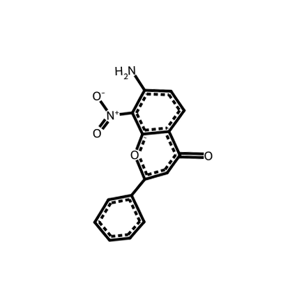 Nc1ccc2c(=O)cc(-c3ccccc3)oc2c1[N+](=O)[O-]